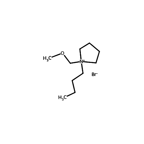 CCCC[N+]1(COC)CCCC1.[Br-]